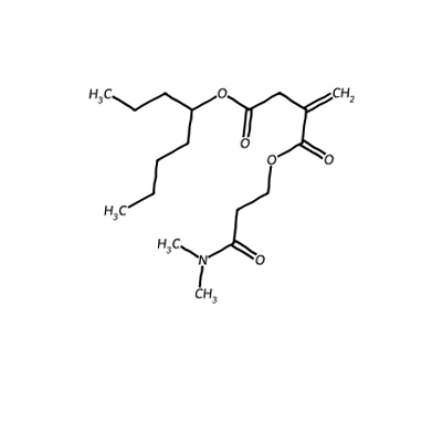 C=C(CC(=O)OC(CCC)CCCC)C(=O)OCCC(=O)N(C)C